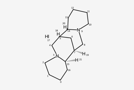 C1CCN2C[C@@H]3C[C@@H](CN4CCCC[C@@H]34)[C@H]2C1.I